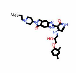 CSCCN1CCC(N2Cc3cc4nc(-c5c(NC[C@@H](O)COc6ccc(C)cc6C)cc[nH]c5=O)[nH]c4cc3C2=O)CC1